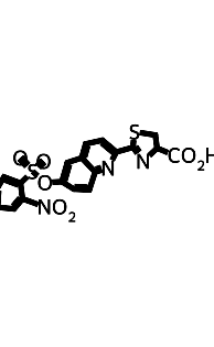 O=C(O)C1CSC(c2ccc3cc(OS(=O)(=O)c4ccccc4[N+](=O)[O-])ccc3n2)=N1